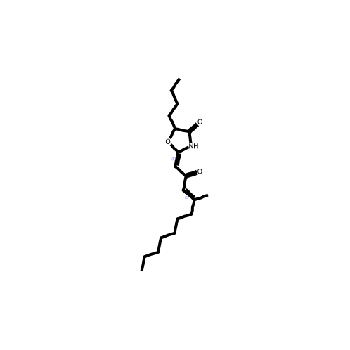 CCCCCCC/C(C)=C/C(=O)/C=C1\NC(=O)C(CCCC)O1